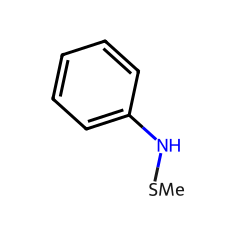 [C]SNc1ccccc1